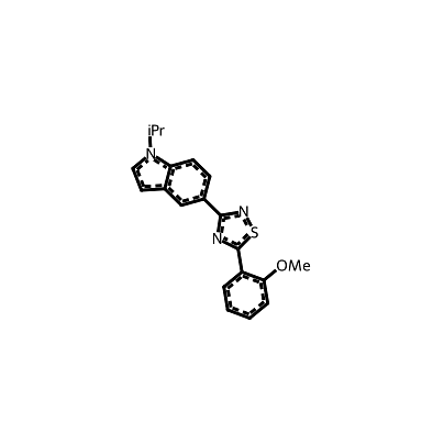 COc1ccccc1-c1nc(-c2ccc3c(ccn3C(C)C)c2)ns1